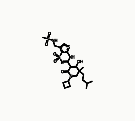 CC(C)CCC1(C)CN(C2CCC2)C(=O)C(C2=NS(=O)(=O)c3c(CNS(C)(=O)=O)csc3N2)=C1O